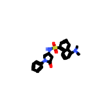 CN(C)c1cccc2c(S(=O)(=O)N[C@H]3CC(=O)N(c4ccccc4)C3)cccc12